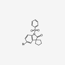 O=C1N(S(=O)(=O)c2ccccc2)c2ccc(Br)cc2C12CCCC2